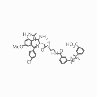 COc1ccc2c(c1)C(c1ccc(Cl)cc1)=N[C@@H](CC(=O)NCCNC(=O)c1cccc([Si](C)(C)O[Si](C)(C)c3cccc(C(=O)O)c3)c1)C(N)N2C(C)N